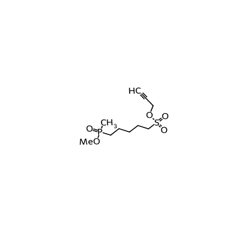 C#CCOS(=O)(=O)CCCCCP(C)(=O)OC